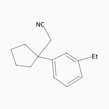 CCc1cccc(C2(CC#N)CCCC2)c1